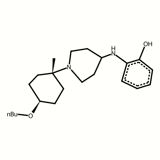 CCCCO[C@H]1CC[C@](C)(N2CCC(Nc3ccccc3O)CC2)CC1